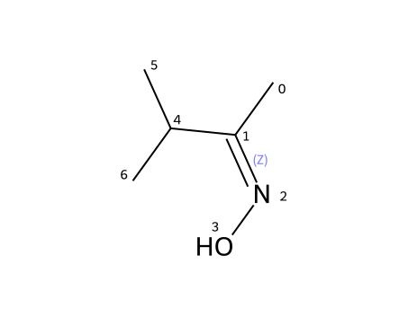 C/C(=N/O)C(C)C